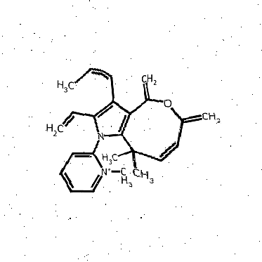 C=Cc1c(/C=C\C)c2c(n1-c1cccc[n+]1C)C(C)(C)/C=C\C(=C)OC2=C